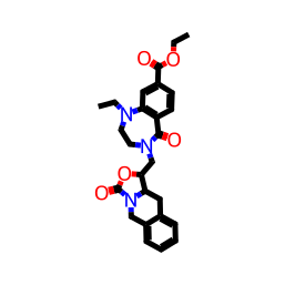 CCOC(=O)c1ccc2c(c1)N(CC)CCN(CC1OC(=O)N3Cc4ccccc4CC13)C2=O